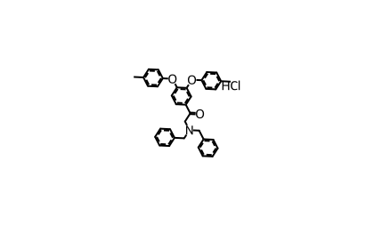 Cc1ccc(Oc2ccc(C(=O)CN(Cc3ccccc3)Cc3ccccc3)cc2Oc2ccc(C)cc2)cc1.Cl